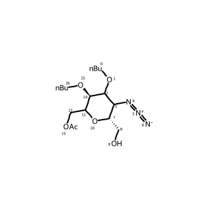 CCCCOC1C(N=[N+]=[N-])[C@H](CO)OC(COC(C)=O)[C@H]1OCCCC